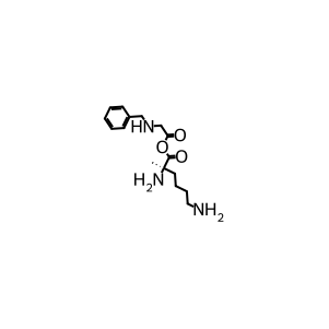 C[C@@](N)(CCCCN)C(=O)OC(=O)CNCc1ccccc1